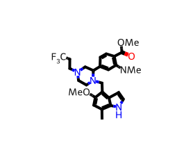 CNc1cc(C2CN(CCC(F)(F)F)CCN2Cc2c(OC)cc(C)c3[nH]ccc23)ccc1C(=O)OC